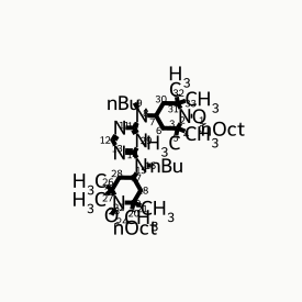 CCCCCCCCON1C(C)(C)CC(N(CCCC)c2ncnc(N(CCCC)C3CC(C)(C)N(OCCCCCCCC)C(C)(C)C3)n2)CC1(C)C